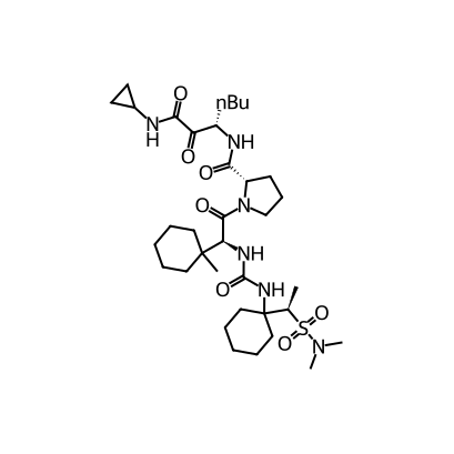 CCCC[C@H](NC(=O)[C@@H]1CCCN1C(=O)[C@@H](NC(=O)NC1([C@@H](C)S(=O)(=O)N(C)C)CCCCC1)C1(C)CCCCC1)C(=O)C(=O)NC1CC1